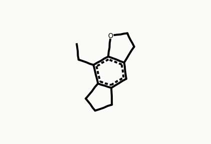 CCc1c2c(cc3c1OCC3)CCC2